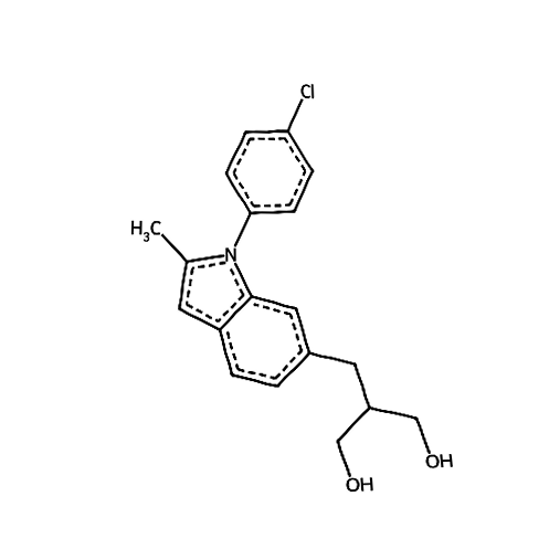 Cc1cc2ccc(CC(CO)CO)cc2n1-c1ccc(Cl)cc1